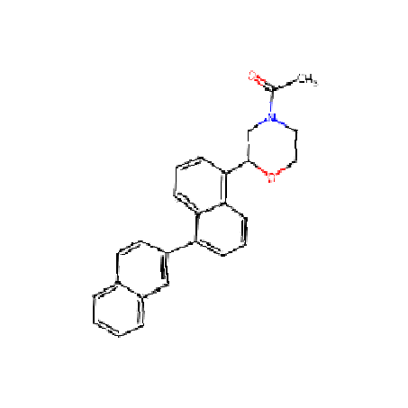 CC(=O)N1CCOC(c2cccc3c(-c4ccc5ccccc5c4)cccc23)C1